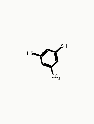 O=C(O)c1cc(S)cc(S)c1